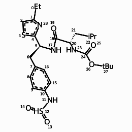 CCc1csc([C@H](Cc2ccc(N[SH](=O)=O)cc2)NC(=O)[C@H](CC(C)C)NC(=O)OC(C)(C)C)n1